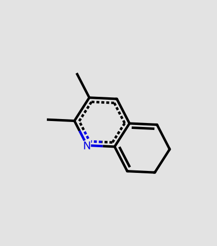 Cc1cc2c(nc1C)=CCCC=2